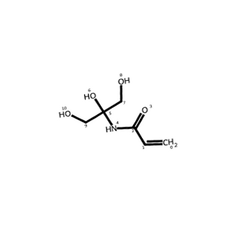 C=CC(=O)NC(O)(CO)CO